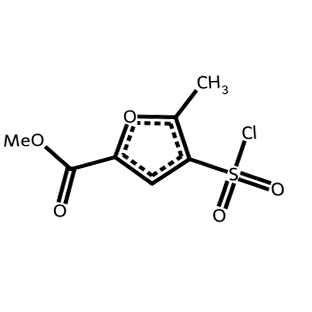 COC(=O)c1cc(S(=O)(=O)Cl)c(C)o1